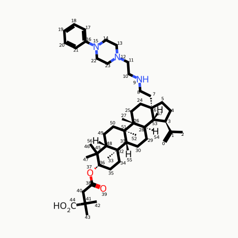 C=C(C)[C@@H]1CC[C@]2(CCNCCN3CCN(c4ccccc4)CC3)CC[C@]3(C)[C@H](CC[C@@H]4[C@@]5(C)CC[C@H](OC(=O)CC(C)(C)C(=O)O)C(C)(C)[C@@H]5CC[C@]43C)[C@@H]12